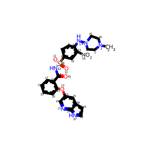 CN1CCN(Nc2ccc(S(=O)(=O)NC(=O)c3ccccc3Oc3cnc4[nH]ccc4c3)cc2[N+](=O)[O-])CC1